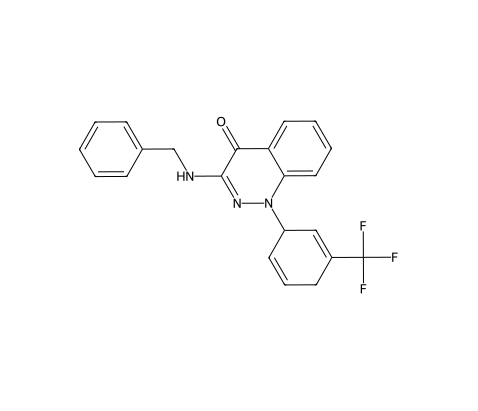 O=c1c(NCc2ccccc2)nn(C2C=CCC(C(F)(F)F)=C2)c2ccccc12